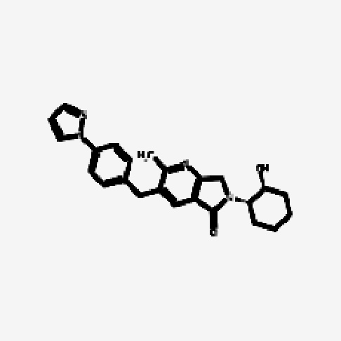 Cc1nc2c(cc1Cc1ccc(-n3cccn3)cc1)C(=O)N([C@H]1CCCC[C@@H]1O)C2